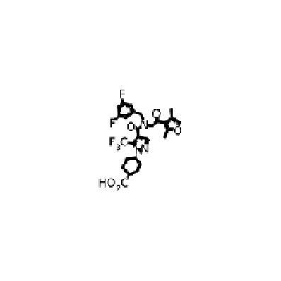 Cc1coc(C)c1C(=O)CN(Cc1cc(F)cc(F)c1)C(=O)c1cnn([C@H]2CC[C@H](C(=O)O)CC2)c1C(F)(F)F